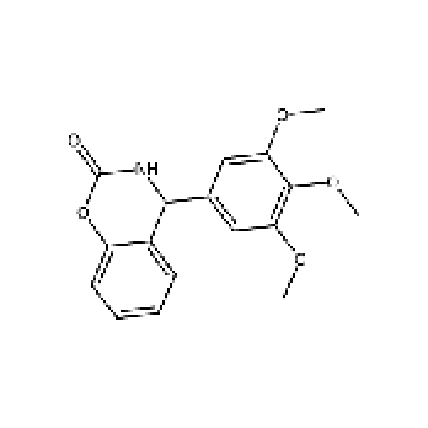 COc1cc(C2NC(=O)Oc3ccccc32)cc(OC)c1OC